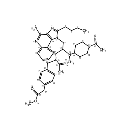 CCCCc1nc2c(N)nc3ccccc3c2n1CC(CN(Cc1ccc(CC(=O)OC)cc1)C(C)=O)N(C)C1CCN(C(C)=O)CC1